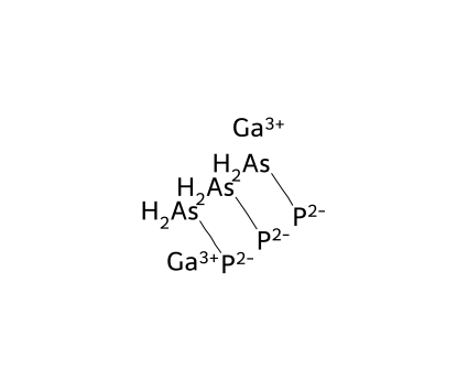 [Ga+3].[Ga+3].[P-2][AsH2].[P-2][AsH2].[P-2][AsH2]